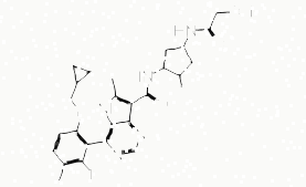 Cc1ccc(OCC2CC2)c(-c2ncnc3c(C(=O)NC4CC(NC(=O)CO)CC4F)c(C)[nH]c23)c1F